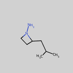 CC(C)CC1CCN1N